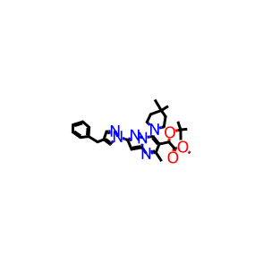 COC(=O)C(OC(C)(C)C)c1c(C)nc2cc(-n3cc(Cc4ccccc4)cn3)nn2c1N1CCC(C)(C)CC1